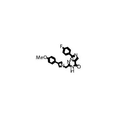 COc1ccc(C2CN(Cc3nn4c(-c5ccc(F)cc5)ncc4c(=O)[nH]3)C2)cc1